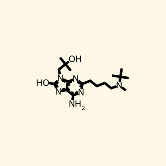 CN(CCCCc1nc(N)c2nc(O)n(CC(C)(C)O)c2n1)C(C)(C)C